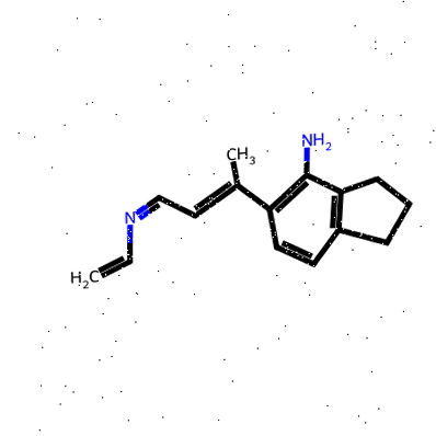 C=C/N=C\C=C(/C)c1ccc2c(c1N)CCC2